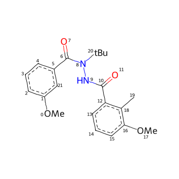 COc1cccc(C(=O)N(NC(=O)c2cccc(OC)c2C)C(C)(C)C)c1